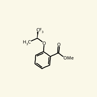 COC(=O)c1ccccc1O[C@@H](C)C(F)(F)F